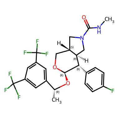 CNC(=O)N1C[C@H]2CO[C@H](O[C@H](C)c3cc(C(F)(F)F)cc(C(F)(F)F)c3)[C@@H](c3ccc(F)cc3)[C@@H]2C1